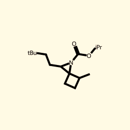 CC(C)OC(=O)N1C(CCC(C)(C)C)C12CCC2C